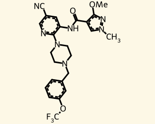 COc1nn(C)cc1C(=O)Nc1cc(C#N)cnc1N1CCN(Cc2cccc(OC(F)(F)F)c2)CC1